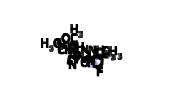 CC[C@]1(C)CCC(F)/C=N\C(C(C(=O)NC2=C(N3CC[C@@H](C)[C@@H](C(=O)N(C)C)C3)CCN=C2)C(N)N)C1